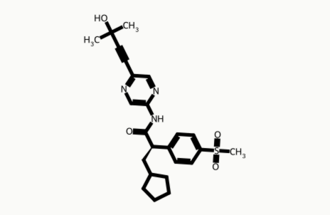 CC(C)(O)C#Cc1cnc(NC(=O)[C@H](CC2CCCC2)c2ccc(S(C)(=O)=O)cc2)cn1